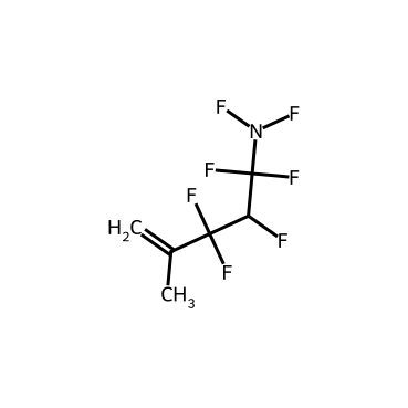 C=C(C)C(F)(F)C(F)C(F)(F)N(F)F